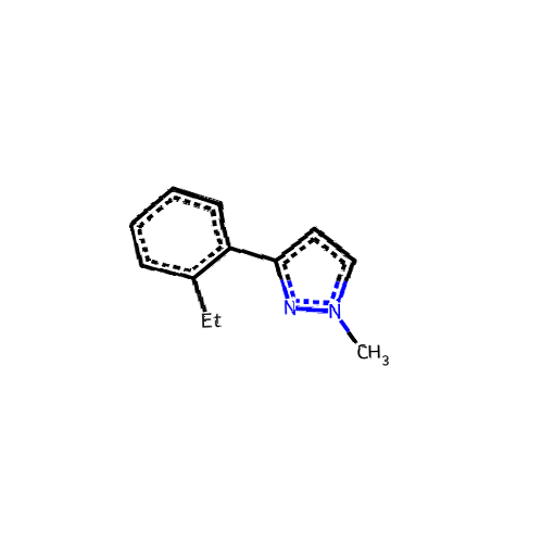 CCc1ccccc1-c1ccn(C)n1